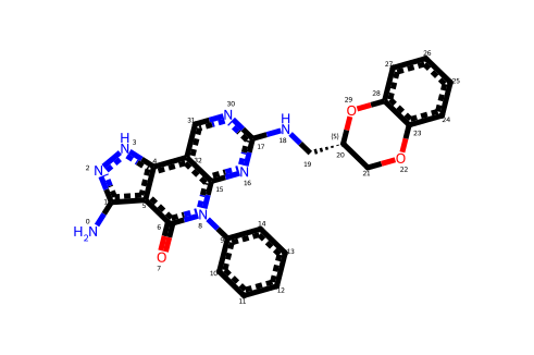 Nc1n[nH]c2c1c(=O)n(-c1ccccc1)c1nc(NC[C@H]3COc4ccccc4O3)ncc21